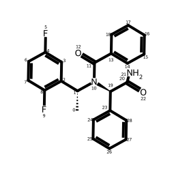 C[C@H](c1cc(F)ccc1F)N(C(=O)c1ccccc1)[C@@H](C(N)=O)c1ccccc1